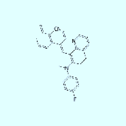 C=C/C(C#N)=C(\C=C/C)C(/C=C)=C/C1=C(N(C)c2ccc(F)cc2)CCc2cccnc21